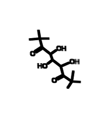 CC(C)(C)C(=O)C(O)C(O)C(O)C(=O)C(C)(C)C